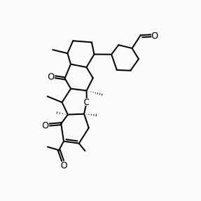 CC(=O)C1=C(C)C[C@]2(C)C[C@]3(C)CC4C(C5CCCC(C=O)C5)CCC(C)C4C(=O)C3C(C)[C@]2(C)C1=O